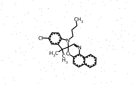 CCCCN1c2ccc(Cl)cc2C(C)(C)C12C=Nc1c(ccc3ccccc13)O2